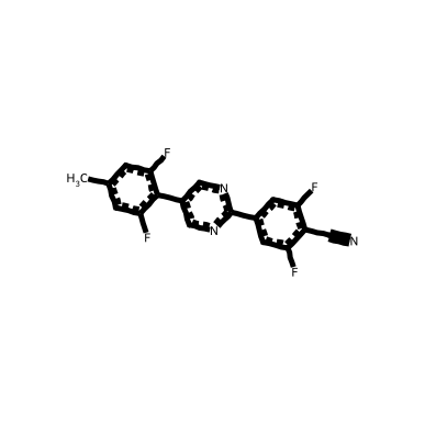 Cc1cc(F)c(-c2cnc(-c3cc(F)c(C#N)c(F)c3)nc2)c(F)c1